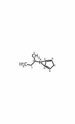 CCC(C)N1C2=CCC=C21